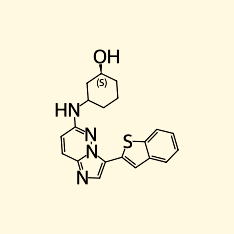 O[C@H]1CCCC(Nc2ccc3ncc(-c4cc5ccccc5s4)n3n2)C1